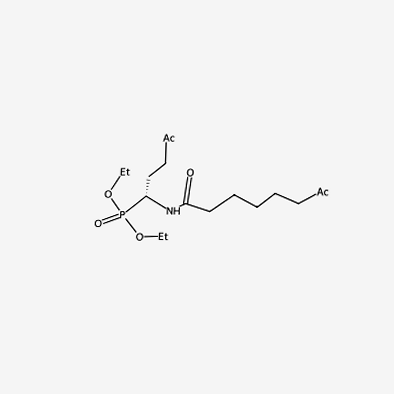 CCOP(=O)(OCC)[C@H](CCC(C)=O)NC(=O)CCCCCC(C)=O